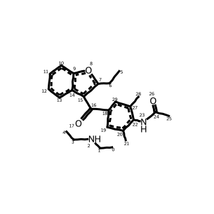 CCNCC.CCc1oc2ccccc2c1C(=O)c1cc(C)c(NC(C)=O)c(C)c1